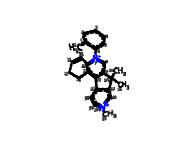 Cc1ccccc1-[n+]1cc2c(c3c1C=CCC3)-c1cc[n+](C)cc1C2(C)C